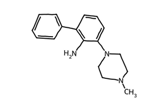 CN1CCN(c2cccc(-c3ccccc3)c2N)CC1